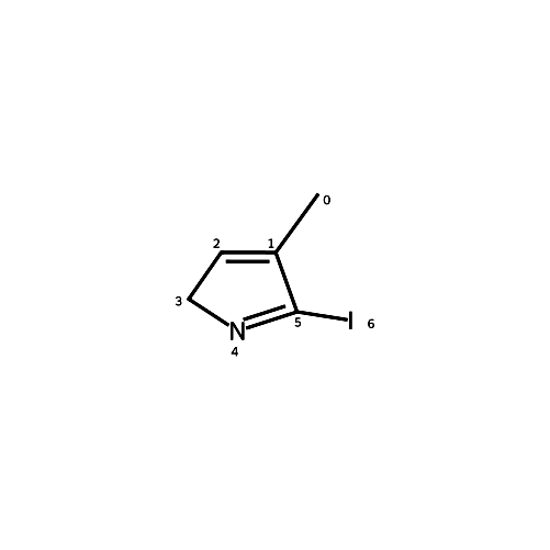 CC1=CCN=C1I